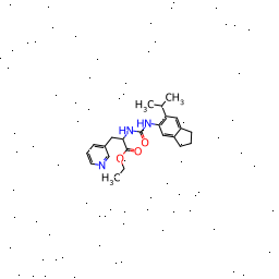 CCOC(=O)C(Cc1cccnc1)NC(=O)Nc1cc2c(cc1C(C)C)CCC2